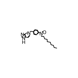 CCCCCCCCCCN(C=O)c1ccc(CN2C=Cc3[nH]cnc3C2)cc1